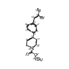 CC(C)(C)OC(=O)N1CC=C(c2ccc(C=C(Br)Br)cc2)CC1